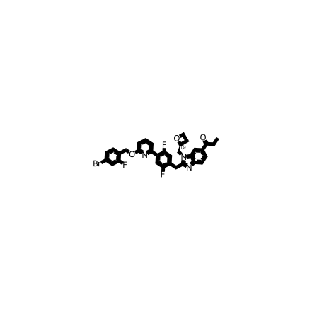 CCC(=O)c1ccc2nc(Cc3cc(F)c(-c4cccc(OCc5ccc(Br)cc5F)n4)cc3F)n(C[C@@H]3CCO3)c2c1